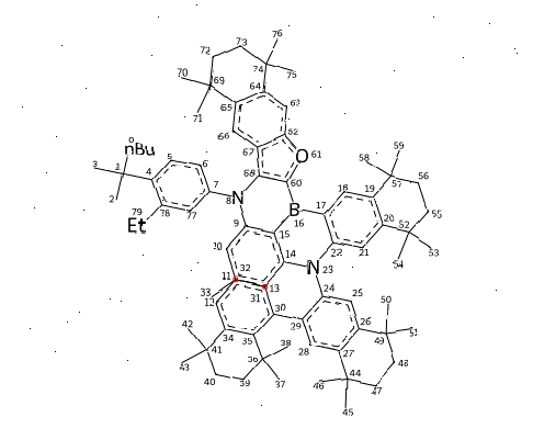 CCCCC(C)(C)c1ccc(N2c3cc(C)cc4c3B(c3cc5c(cc3N4c3cc4c(cc3-c3cccc6c3C(C)(C)CCC6(C)C)C(C)(C)CCC4(C)C)C(C)(C)CCC5(C)C)c3oc4cc5c(cc4c32)C(C)(C)CCC5(C)C)cc1CC